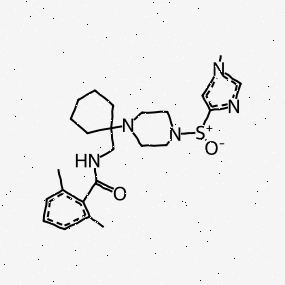 Cc1cccc(C)c1C(=O)NCC1(N2CCN([S+]([O-])c3cn(C)cn3)CC2)CCCCC1